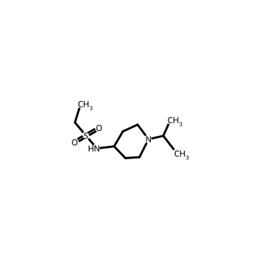 CCS(=O)(=O)NC1CCN(C(C)C)CC1